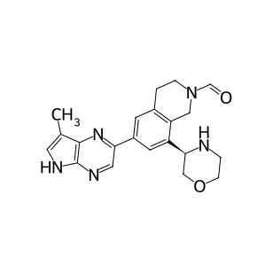 Cc1c[nH]c2ncc(-c3cc4c(c([C@@H]5COCCN5)c3)CN(C=O)CC4)nc12